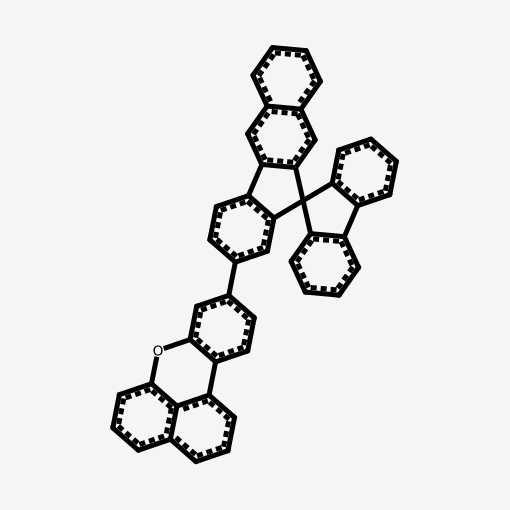 c1ccc2c(c1)-c1ccccc1C21c2cc(-c3ccc4c(c3)Oc3cccc5cccc-4c35)ccc2-c2cc3ccccc3cc21